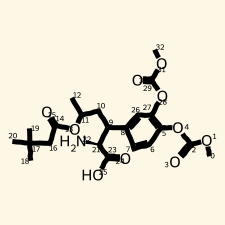 COC(=O)Oc1ccc(C(CC(C)OC(=O)CC(C)(C)C)[C@H](N)C(=O)O)cc1OC(=O)OC